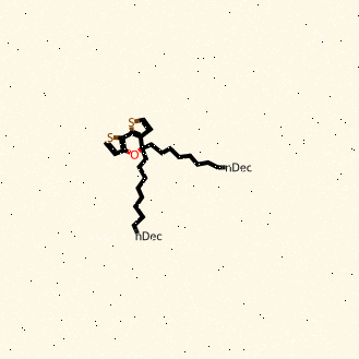 CCCCCCCCCCCCCCCCCCC1(CCCCCCCCCCCCCCCCCC)Oc2ccsc2-c2sccc21